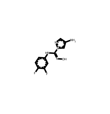 Nc1cnn(C(=NO)Nc2ccc(F)c(F)c2)c1